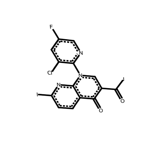 O=C(I)c1cn(-c2ncc(F)cc2Cl)c2nc(I)ccc2c1=O